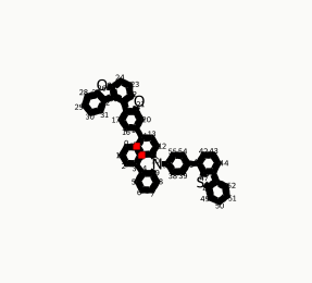 c1ccc(-c2ccccc2N(c2ccc(-c3ccc4c(c3)oc3ccc5oc6ccccc6c5c34)cc2)c2ccc(-c3cccc4c3sc3ccccc34)cc2)cc1